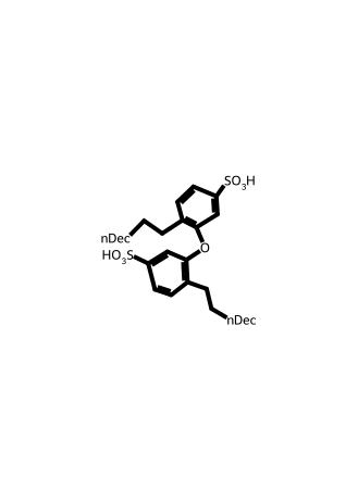 CCCCCCCCCCCCc1ccc(S(=O)(=O)O)cc1Oc1cc(S(=O)(=O)O)ccc1CCCCCCCCCCCC